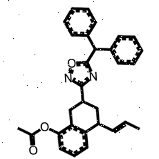 CC=CC1CC(c2noc(C(c3ccccc3)c3ccccc3)n2)Cc2c(OC(C)=O)cccc21